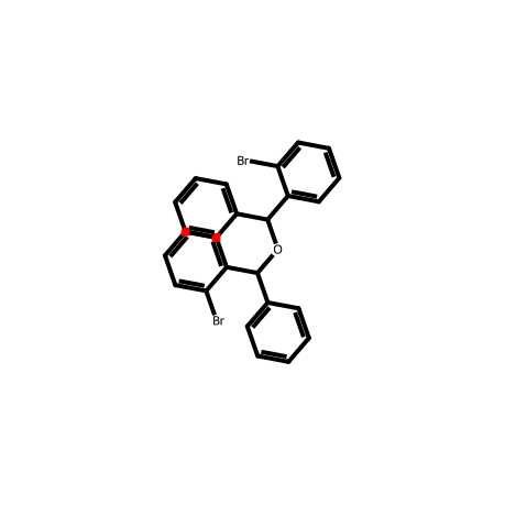 Brc1ccccc1C(OC(c1ccccc1)c1ccccc1Br)c1ccccc1